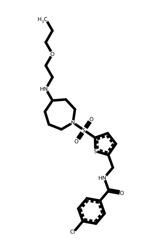 CCCOCCNC1CCCN(S(=O)(=O)c2ccc(CNC(=O)c3ccc(Cl)cc3)s2)CC1